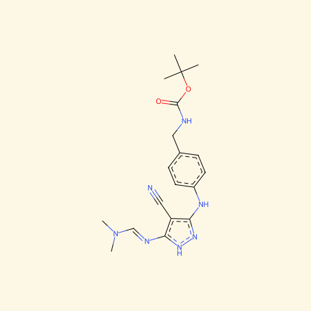 CN(C)C=Nc1[nH]nc(Nc2ccc(CNC(=O)OC(C)(C)C)cc2)c1C#N